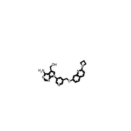 Nc1ncnc2c1c(CO)cn2-c1cncc(COc2ccc3ccc(N4CCC4)nc3c2)c1